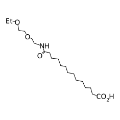 CCOCCOCCNC(=O)CCCCCCCCCCCCC(=O)O